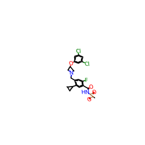 CS(=O)(=O)NC(=O)c1cc(C2CC2)c(CN2CC(Oc3cc(Cl)cc(Cl)c3)C2)cc1F